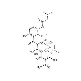 C[C@H]1c2c(NC(=O)CN(C)C)ccc(O)c2C(=O)C2=C(O)[C@]3(O)C(=O)C(C(N)=O)=C(O)[C@@H](N(C)C)[C@@H]3[C@@H](O)[C@@H]21